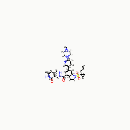 C=CCC1(S(=O)(=O)N2CCc3c(C(=O)NCc4c(C)cc(C)[nH]c4=O)cc(-c4ccc(N5CCN(C)CC5)nc4)cc32)CC1